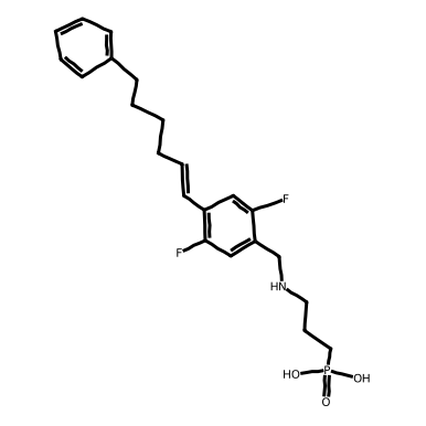 O=P(O)(O)CCCNCc1cc(F)c(C=CCCCCc2ccccc2)cc1F